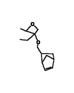 CCC1(OCC2CC3C=CC2C3)COC1C